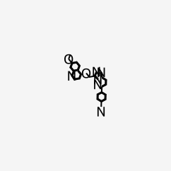 COc1ccc2c(OCc3nnc4ccc(-c5ccc(C#N)cc5)nn34)ccnc2c1